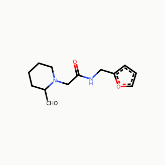 O=CC1CCCCN1CC(=O)NCc1ccco1